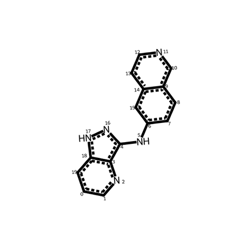 c1cnc2c(Nc3ccc4cnccc4c3)n[nH]c2c1